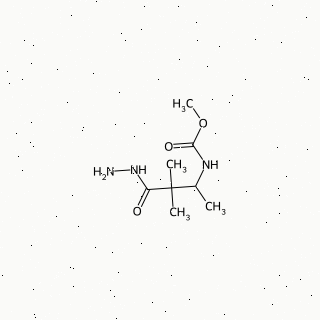 COC(=O)NC(C)C(C)(C)C(=O)NN